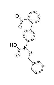 O=C(O)N(OCc1ccccc1)c1ccc(-c2ccccc2[N+](=O)[O-])cc1